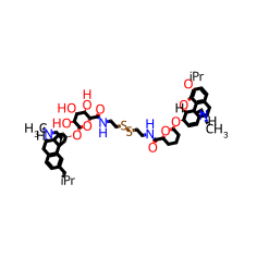 CC(C)Cc1ccc2c(c1)[C@]13CCN(C)[C@H](C2)C1C=C[C@H](OC1OC(C(=O)NCCSSCCNC(=O)C2CCCC(O[C@H]4C=CC5[C@H]6Cc7ccc(OC(C)C)c8c7[C@@]5(CCN6C)[C@H]4O8)O2)[C@@H](O)[C@@H](O)[C@@H]1O)C3